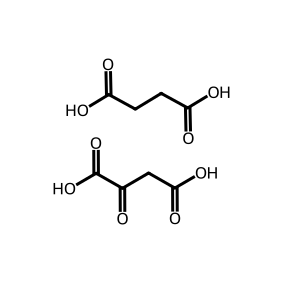 O=C(O)CC(=O)C(=O)O.O=C(O)CCC(=O)O